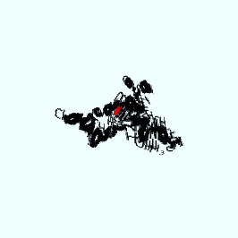 Cc1ncsc1-c1ccc([C@H](C)NC(=O)[C@@H]2C[C@@H](O)CN2C(=O)[C@@H](NCCC(=O)N2CCN(CC3CCN(CC4(C)CCC(c5ccc(Cl)cc5)=C(CN5CCN(c6ccc(C(=O)NS(=O)(=O)c7ccc(N[C@H](CCN8CCOCC8)CSc8ccccc8)c(S(=O)(=O)C(F)(F)F)c7)cc6)CC5)C4)CC3)CC2)C(C)(C)C)cc1